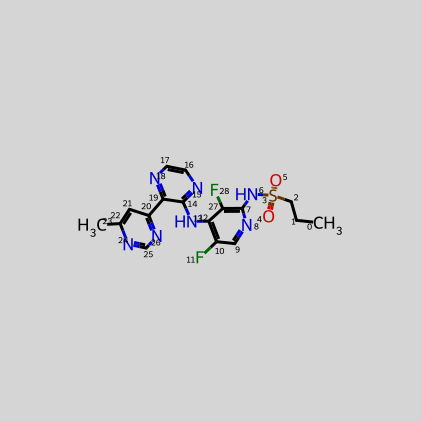 CCCS(=O)(=O)Nc1ncc(F)c(Nc2nccnc2-c2cc(C)ncn2)c1F